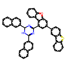 c1ccc2cc(C3=NC(c4cc(-c5ccc6sc7ccccc7c6c5)cc5oc6ccccc6c45)=NC(c4ccc5ccccc5c4)N3)ccc2c1